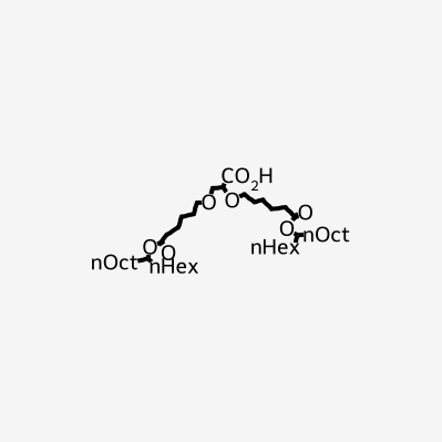 CCCCCCCCC(CCCCCC)OC(=O)CCCCCOCC(OCCCCCC(=O)OC(CCCCCC)CCCCCCCC)C(=O)O